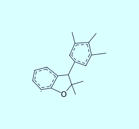 Cc1cc(C2c3ccc[c]c3OC2(C)C)cc(C)c1C